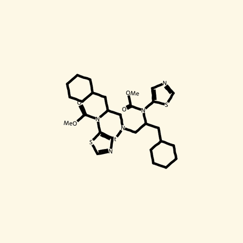 CCN(CC(CC1CCCCC1)N(C(=O)OC)c1cncs1)CC(CC1CCCCC1)N(C(=O)OC)c1cncs1